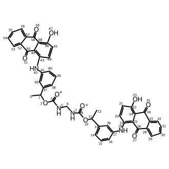 CC(OC(=O)NCNC(=O)OC(C)c1cccc(Nc2ccc(O)c3c2C(=O)c2ccccc2C3=O)c1)c1cccc(Nc2ccc(O)c3c2C(=O)c2ccccc2C3=O)c1